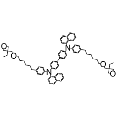 CCC1(COCCCCCCc2ccc(N(c3ccc(-c4ccc(N(c5ccc(CCCCCCOCC6(CC)COC6)cc5)c5cccc6ccccc56)cc4)cc3)c3cccc4ccccc34)cc2)COC1